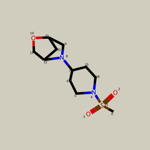 CS(=O)(=O)N1CCC(N2CC3CC2CO3)CC1